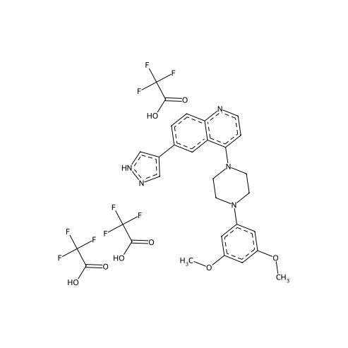 COc1cc(OC)cc(N2CCN(c3ccnc4ccc(-c5cn[nH]c5)cc34)CC2)c1.O=C(O)C(F)(F)F.O=C(O)C(F)(F)F.O=C(O)C(F)(F)F